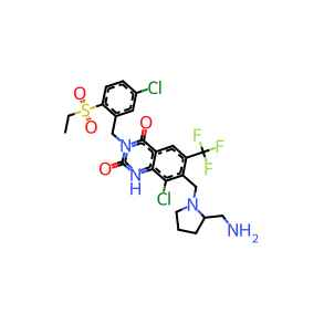 CCS(=O)(=O)c1ccc(Cl)cc1Cn1c(=O)[nH]c2c(Cl)c(CN3CCCC3CN)c(C(F)(F)F)cc2c1=O